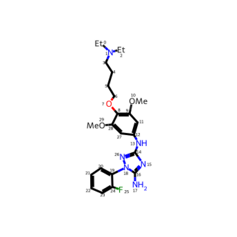 CCN(CC)CCCCOc1c(OC)cc(Nc2nc(N)n(-c3ccccc3F)n2)cc1OC